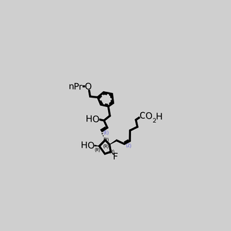 CCCOCc1cccc(CC(O)/C=C/[C@@H]2[C@@H](C/C=C\CCCC(=O)O)[C@H](F)C[C@H]2O)c1